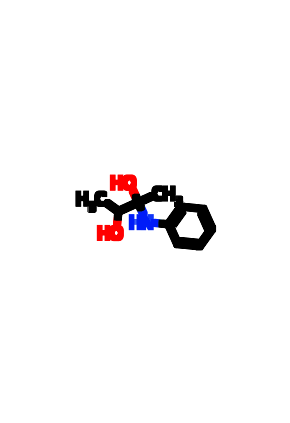 CC(O)C(C)(O)Nc1ccccc1